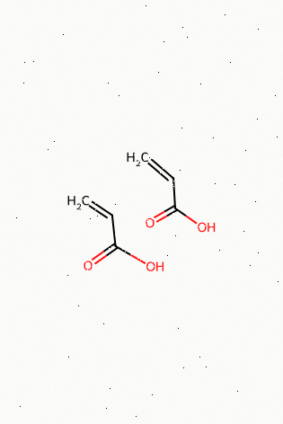 C=CC(=O)O.C=CC(=O)O